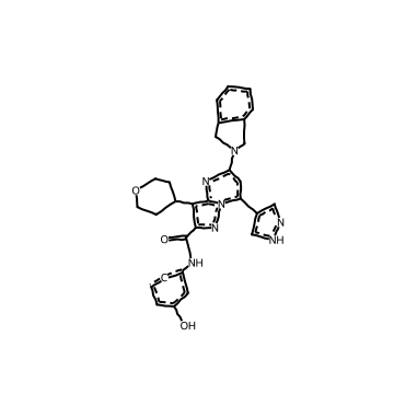 O=C(Nc1cccc(O)c1)c1nn2c(-c3cn[nH]c3)cc(N3Cc4ccccc4C3)nc2c1C1CCOCC1